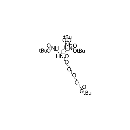 CC(C)(C)OC(=O)CCOCCOCCOCCOCC(=O)NC(CCCNC(=O)OC(C)(C)C)(CCCNC(=O)OC(C)(C)C)CCCNC(=O)OC(C)(C)C